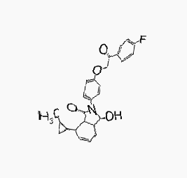 CC1CC1C1C=CCC2C1C(=O)N(c1ccc(OCC(=O)c3ccc(F)cc3)cc1)[C@H]2O